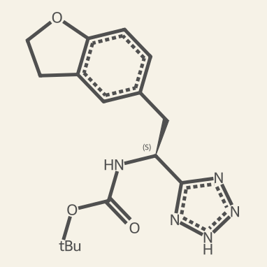 CC(C)(C)OC(=O)N[C@@H](Cc1ccc2c(c1)CCO2)c1nn[nH]n1